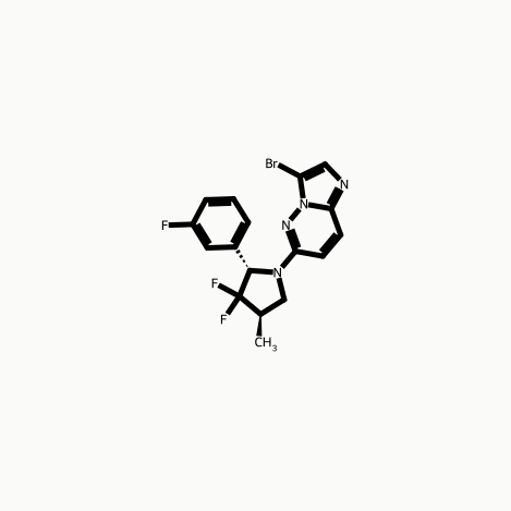 C[C@@H]1CN(c2ccc3ncc(Br)n3n2)[C@@H](c2cccc(F)c2)C1(F)F